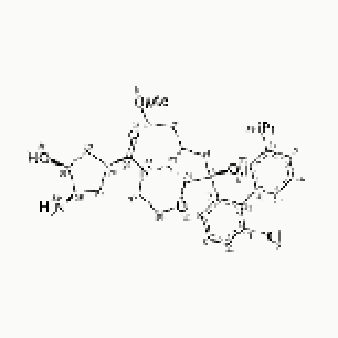 COCCCC[C@](O)(c1cccc(Cl)c1-c1cccc(C(C)C)c1)[C@H]1CN(C(=O)[C@H]2C[C@@H](N)[C@@H](O)C2)CCO1